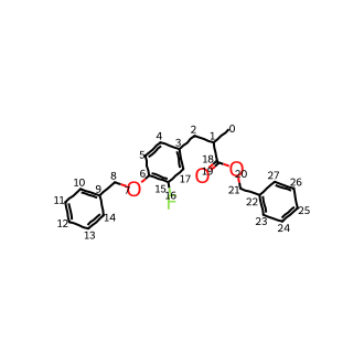 CC(Cc1ccc(OCc2ccccc2)c(F)c1)C(=O)OCc1ccccc1